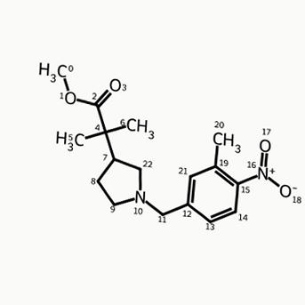 COC(=O)C(C)(C)C1CCN(Cc2ccc([N+](=O)[O-])c(C)c2)C1